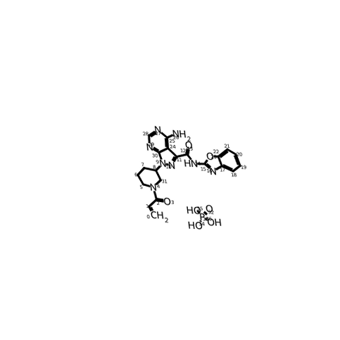 C=CC(=O)N1CCCC(n2nc(C(=O)Nc3nc4ccccc4o3)c3c(N)ncnc32)C1.O=P(O)(O)O